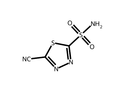 N#Cc1nnc(S(N)(=O)=O)s1